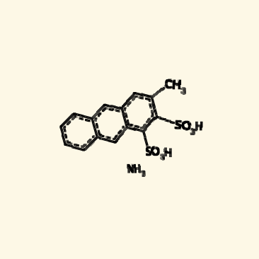 Cc1cc2cc3ccccc3cc2c(S(=O)(=O)O)c1S(=O)(=O)O.N